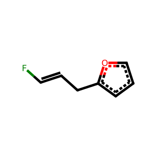 FC=CCc1ccco1